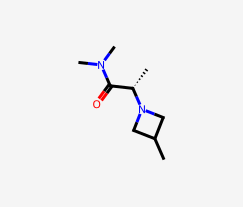 CC1CN([C@@H](C)C(=O)N(C)C)C1